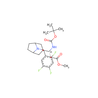 COC(=O)C[C@@H](NC(=O)OC(C)(C)C)C1CC2CCC(C1)N2Cc1cc(F)c(F)cc1F